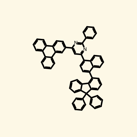 c1ccc(-c2nc(-c3ccc4c5ccccc5c5ccccc5c4c3)cc(-c3ccc(-c4cccc5c4-c4ccccc4C5(c4ccccc4)c4ccccc4)c4ccccc34)n2)cc1